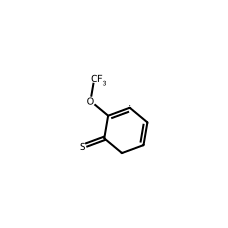 FC(F)(F)OC1=[C]C=CCC1=S